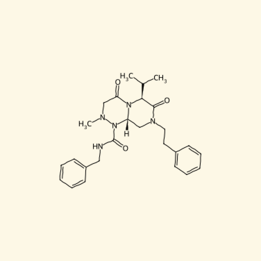 CC(C)[C@H]1C(=O)N(CCc2ccccc2)C[C@H]2N1C(=O)CN(C)N2C(=O)NCc1ccccc1